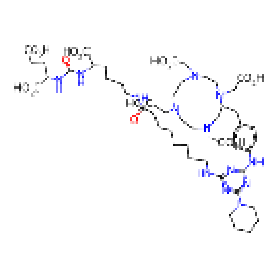 O=C(O)CCC(NC(=O)NC(CCCCNC(=O)CCCCCCCNc1nc(Nc2ccc(CC3CN(CC(=O)O)CCN(CC(=O)O)CCN(CC(=O)O)CCN3CC(=O)O)cc2)nc(N2CCCCC2)n1)C(=O)O)C(=O)O